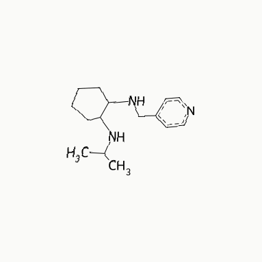 CC(C)NC1CCCCC1NCc1ccncc1